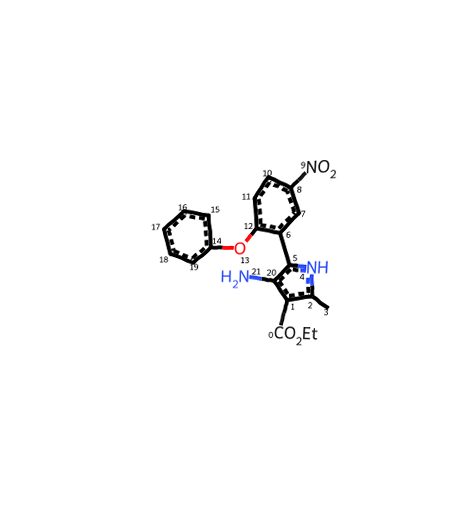 CCOC(=O)c1c(C)[nH]c(-c2cc([N+](=O)[O-])ccc2Oc2ccccc2)c1N